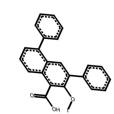 O=C(O)c1c(OI)c(-c2ccccc2)cc2c(-c3ccccc3)cccc12